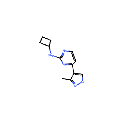 Cc1n[nH]cc1-c1ccnc(NC2CCC2)n1